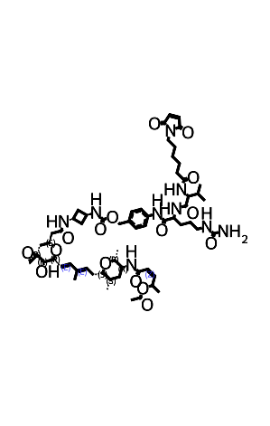 CC(=O)OC(C)/C=C\C(=O)N[C@@H]1C[C@H](C)[C@H](C/C=C(C)/C=C/[C@H]2O[C@H](CC(=O)N[C@H]3C[C@H](NC(=O)OCc4ccc(NC(=O)C(CCCNC(N)=O)NC(=O)C(NC(=O)CCCCCN5C(=O)C=CC5=O)C(C)C)cc4)C3)C[C@@]3(CO3)[C@@H]2O)O[C@@H]1C